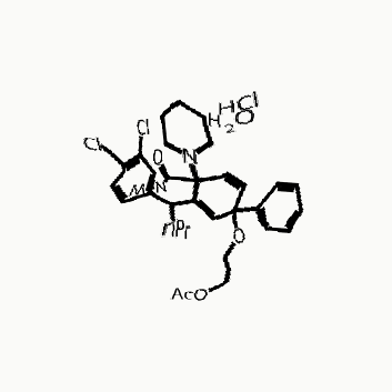 CCCC(C1=CC(OCCOC(C)=O)(c2ccccc2)C=CC1(C(=O)NC)N1CCCCC1)c1ccc(Cl)c(Cl)c1.Cl.O